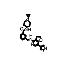 O=C(NC1CCN(C2CC2)CC1)c1cccc(CNc2ncc(-c3cn[nH]c3)c3c2CCO3)c1